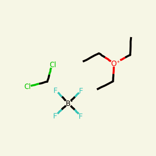 CC[O+](CC)CC.ClCCl.F[B-](F)(F)F